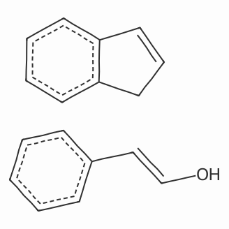 C1=Cc2ccccc2C1.OC=Cc1ccccc1